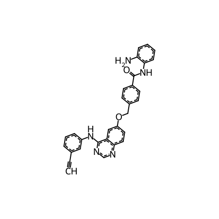 C#Cc1cccc(Nc2ncnc3ccc(OCc4ccc(C(=O)Nc5ccccc5N)cc4)cc23)c1